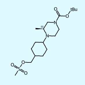 C[C@H]1CN(C(=O)OC(C)(C)C)CCN1C1CCC(COS(C)(=O)=O)CC1